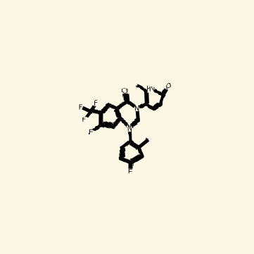 Cc1cc(F)ccc1N1CN(c2ccc(=O)[nH]c2C)C(=O)c2cc(C(F)(F)F)c(F)cc21